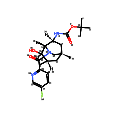 C[C@@H]1C[C@@H]2C[C@H](NC(=O)OC(C)(C)C)[C@@H]([C@@H]1O)N(C(=O)c1ccc(F)cn1)C2